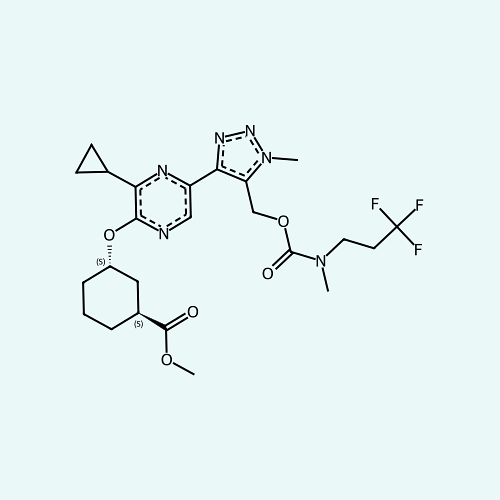 COC(=O)[C@H]1CCC[C@H](Oc2ncc(-c3nnn(C)c3COC(=O)N(C)CCC(F)(F)F)nc2C2CC2)C1